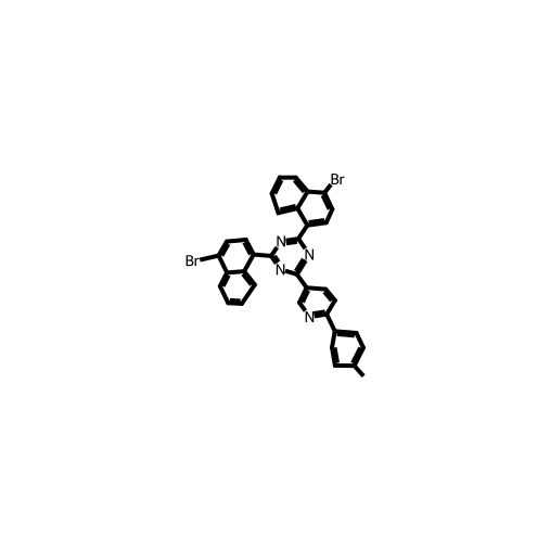 Cc1ccc(-c2ccc(-c3nc(-c4ccc(Br)c5ccccc45)nc(-c4ccc(Br)c5ccccc45)n3)cn2)cc1